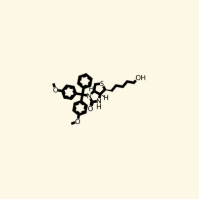 COc1ccc(C(c2ccccc2)(c2ccc(OC)cc2)N2C(=O)N[C@@H]3[C@H](CCCCCO)SC[C@@H]32)cc1